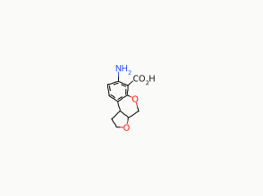 Nc1ccc2c(c1C(=O)O)OCC1OCCC21